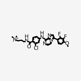 COc1ccc(-c2cnc3c(Nc4ccc(C(=O)NCCC[N+](C)(C)C)c(Cl)c4)nccn23)c(F)c1F